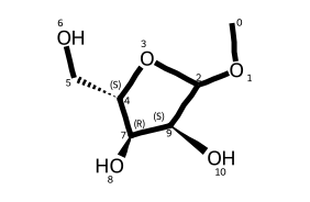 COC1O[C@@H](CO)[C@H](O)[C@@H]1O